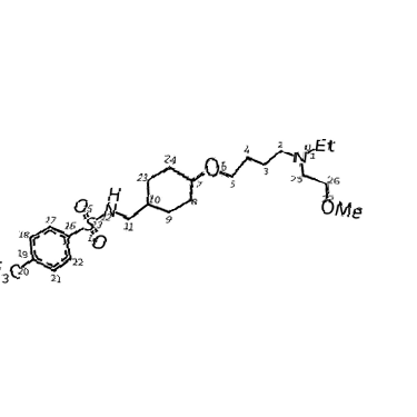 CCN(CCCCOC1CCC(CNS(=O)(=O)c2ccc(C(F)(F)F)cc2)CC1)CCOC